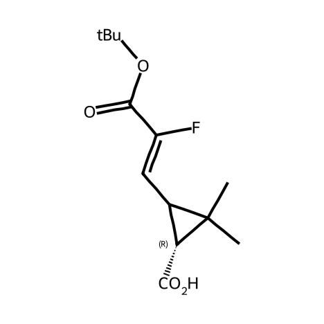 CC(C)(C)OC(=O)C(F)=CC1[C@@H](C(=O)O)C1(C)C